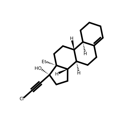 CC[C@]12CC[C@H]3[C@@H](CCC4=CCCC[C@@H]43)[C@@H]1CC[C@@]2(O)C#CCl